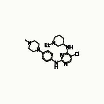 CCN1CCCC(Nc2nc(Nc3ccc(N4CCN(C)CC4)cc3)ncc2Cl)C1